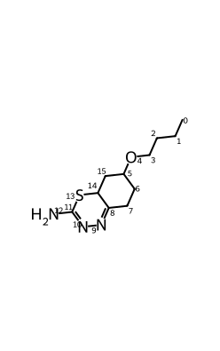 CCCCOC1CCC2=NN=C(N)SC2C1